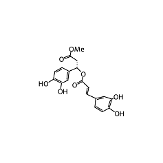 COC(=O)C[C@H](OC(=O)/C=C/c1ccc(O)c(O)c1)c1ccc(O)c(O)c1